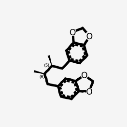 C[C@H](Cc1ccc2c(c1)OCO2)[C@@H](C)Cc1ccc2c(c1)OCO2